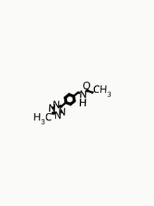 CCC(=O)NCc1ccc(-c2nnc(C)nn2)cc1